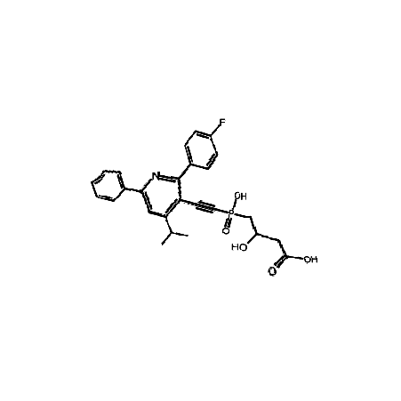 CC(C)c1cc(-c2ccccc2)nc(-c2ccc(F)cc2)c1C#CP(=O)(O)CC(O)CC(=O)O